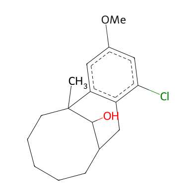 COc1cc(Cl)c2c(c1)C1(C)CCCCCC(C2)C1O